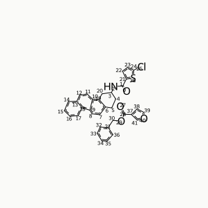 O=C(NC1CCc2ccc3c(ccc4ccccc43)c2C1)c1ccc(Cl)s1.O=C(OCc1ccccc1)c1ccoc1